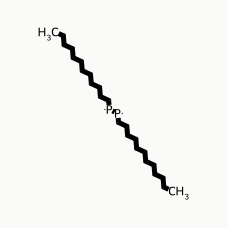 CCCCCCCCCCCC[P][P]CCCCCCCCCCCC